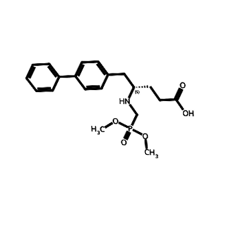 COP(=O)(CN[C@@H](CCC(=O)O)Cc1ccc(-c2ccccc2)cc1)OC